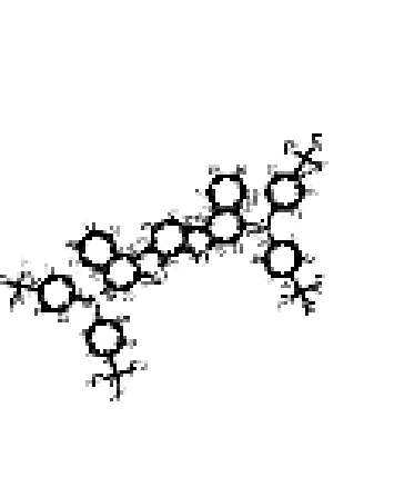 FC(F)(F)c1ccc(N(c2ccc(C(F)(F)F)cc2)c2cc3oc4c(ccc5c4oc4cc(N(c6ccc(C(F)(F)F)cc6)c6ccc(C(F)(F)F)cc6)c6ccccc6c45)c3c3ccccc23)cc1